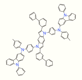 Cc1ccc(N(c2ccc(-n3c(-c4cccc(-c5ccccc5)c4)cc4cc5c(cc(-c6cccc(-c7ccccc7)c6)n5-c5ccc(N(c6ccc(C)cc6)c6ccc7c(c6)c6ccccc6n7-c6ccccc6)cc5)cc43)cc2)c2ccc3c(c2)c2ccccc2n3-c2ccccc2)cc1